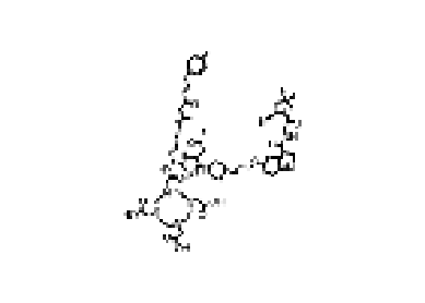 COC(=O)C[C@H](NC(=O)[C@H](CCCC/N=C(\C)CC(=O)CCCc1ccc(C)cc1)NC(=O)CN1CCN(CC(=O)O)CCN(CC(=O)O)CCN(CC(=O)O)CC1)C(=O)N1CCC(CCCOc2ccc3nccc(C(=O)NCC(=O)N4CC(F)(F)C[C@@H]4C#N)c3c2)CC1